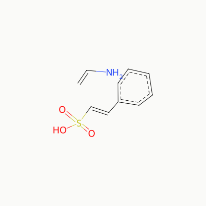 C=CN.O=S(=O)(O)C=Cc1ccccc1